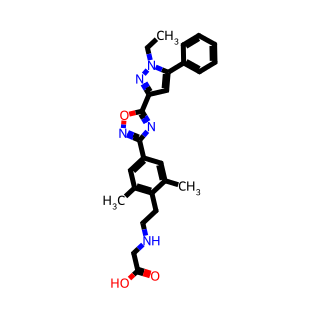 CCn1nc(-c2nc(-c3cc(C)c(CCNCC(=O)O)c(C)c3)no2)cc1-c1ccccc1